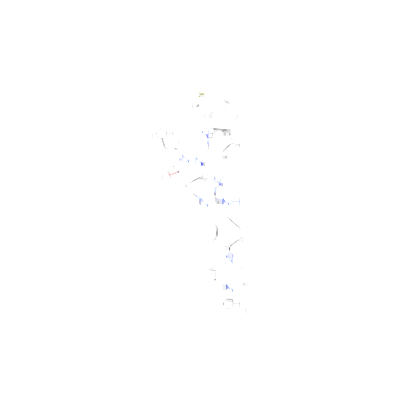 C=CCn1c(=O)c2cnc(Nc3ccc(N4CCN(C)CC4)cc3)nc2n1-c1ccc2c(n1)C(CS)CC2